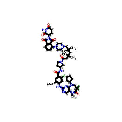 COc1cc(C(=O)N[C@H]2CCN(C(=O)CC(C)(C)CC(C)(C)CN3CCN(c4cccc5c4C(=O)N(C4CCC(=O)NC4=O)C5=O)CC3)C2)c(F)cc1Nc1ncc2c(n1)N(C1CCCC1)CC(F)(F)C(=O)N2C